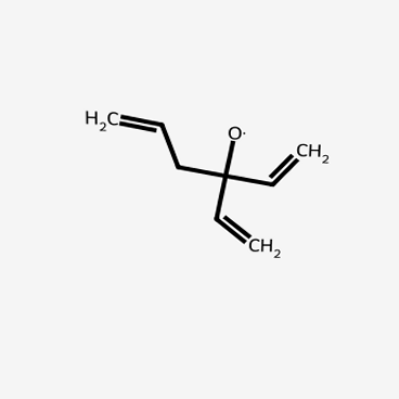 C=CCC([O])(C=C)C=C